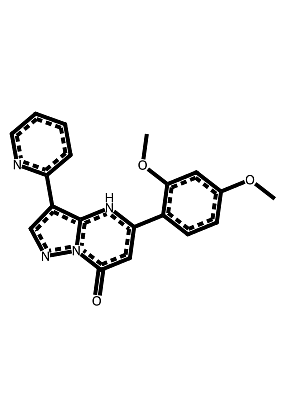 COc1ccc(-c2cc(=O)n3ncc(-c4ccccn4)c3[nH]2)c(OC)c1